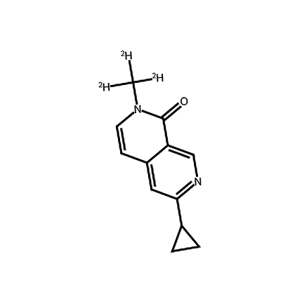 [2H]C([2H])([2H])n1ccc2cc(C3CC3)ncc2c1=O